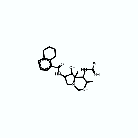 CCC(=N)NC1C(C)NCN2CC(NC(=O)c3cccc4c3CCCC4)C(O)C12C